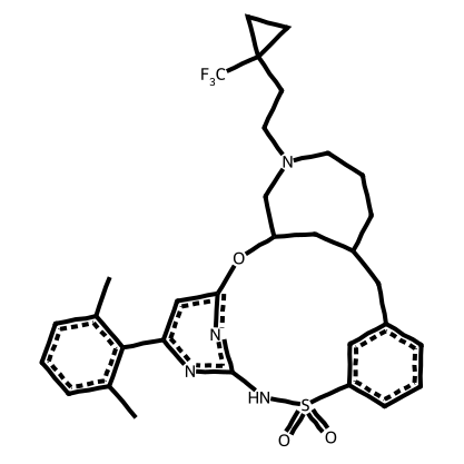 Cc1cccc(C)c1-c1cc2nc(n1)NS(=O)(=O)c1cccc(c1)CC1CCCN(CCC3(C(F)(F)F)CC3)CC(C1)O2